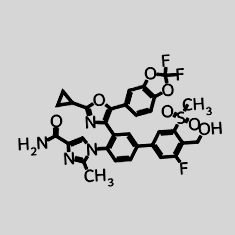 Cc1nc(C(N)=O)cn1-c1ccc(-c2cc(F)c(CO)c(S(C)(=O)=O)c2)cc1-c1nc(C2CC2)oc1-c1ccc2c(c1)OC(F)(F)O2